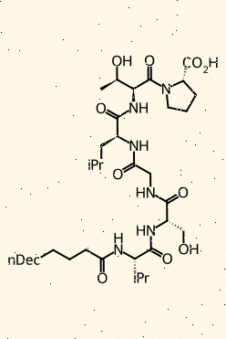 CCCCCCCCCCCCCC(=O)N[C@H](C(=O)N[C@@H](CO)C(=O)NCC(=O)N[C@@H](CC(C)C)C(=O)N[C@H](C(=O)N1CCC[C@H]1C(=O)O)[C@@H](C)O)C(C)C